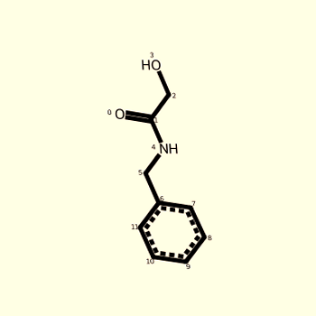 O=C(CO)NCc1ccccc1